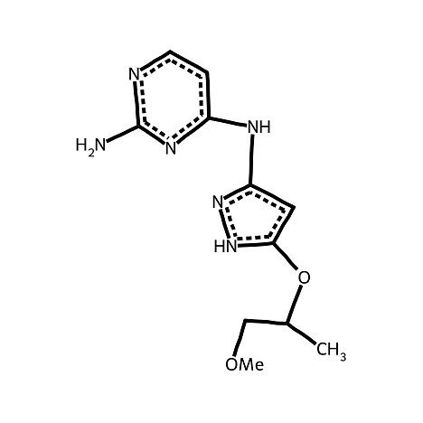 COCC(C)Oc1cc(Nc2ccnc(N)n2)n[nH]1